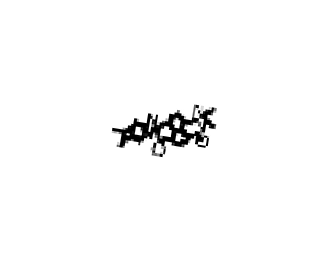 CC1N=c2c3ccc4c5c(ccc(c(=O)n2C1C)c35)c(=O)n1c2cc3c(cc2nc41)C(C)C3C